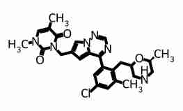 Cc1cc(Cl)cc(-c2ncnn3cc(Cn4c(=O)c(C)cn(C)c4=O)cc23)c1CC1CNC[C@H](C)O1